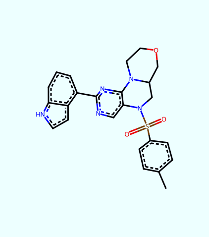 Cc1ccc(S(=O)(=O)N2CC3COCCN3c3nc(-c4cccc5[nH]ccc45)ncc32)cc1